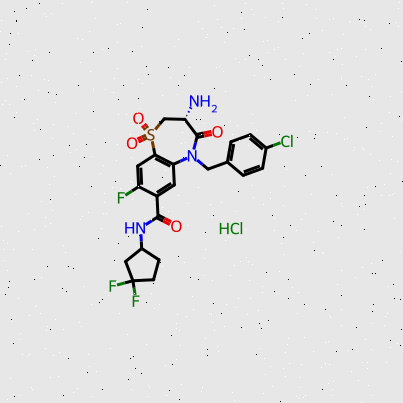 Cl.N[C@H]1CS(=O)(=O)c2cc(F)c(C(=O)NC3CCC(F)(F)C3)cc2N(Cc2ccc(Cl)cc2)C1=O